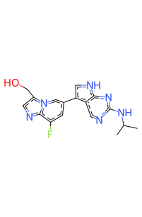 CC(C)Nc1ncc2c(-c3cc(F)c4ncc(CO)n4c3)c[nH]c2n1